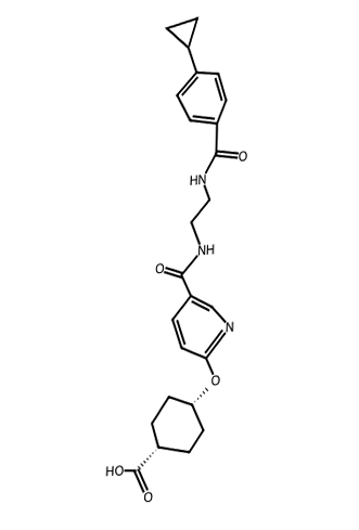 O=C(NCCNC(=O)c1ccc(O[C@H]2CC[C@@H](C(=O)O)CC2)nc1)c1ccc(C2CC2)cc1